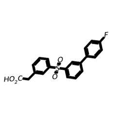 O=C(O)Cc1cccc(S(=O)(=O)c2cccc(-c3ccc(F)cc3)c2)c1